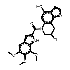 COc1cc2cc(C(=O)N3CC(Cl)Cc4c3cc(O)c3ccoc43)[nH]c2c(OC)c1OC